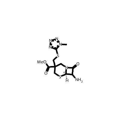 COC(=O)C1(CSc2nnnn2C)CS[C@@H]2C(N)C(=O)N2C1